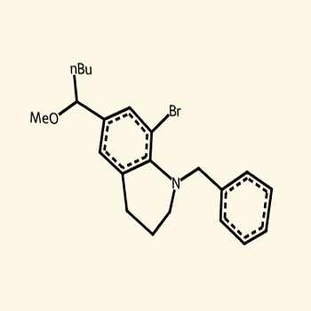 CCCCC(OC)c1cc(Br)c2c(c1)CCCN2Cc1ccccc1